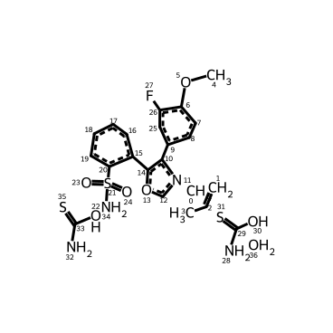 C.C=CC.COc1ccc(-c2ncoc2-c2ccccc2S(N)(=O)=O)cc1F.NC(O)=S.NC(O)=S.O